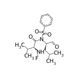 CC(C)C[C@H](C=O)N(C(=O)[C@@H](NF)C(C)C)S(=O)(=O)c1ccccc1